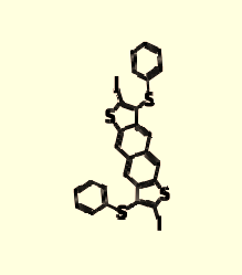 Ic1sc2cc3cc4c(Sc5ccccc5)c(I)sc4cc3cc2c1Sc1ccccc1